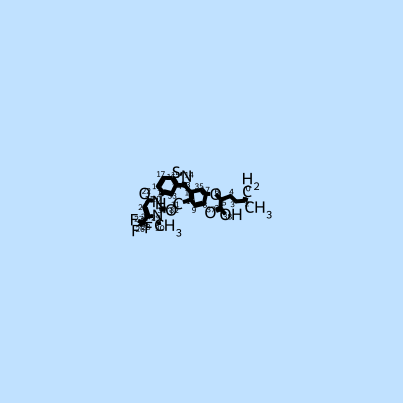 C=C(C)CCC(Oc1ccc(C)c(-c2nsc3ccc(-n4c(=O)cc(C(F)(F)F)n(C)c4=O)cc23)c1)C(=O)O